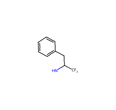 [NH]C(Cc1ccccc1)C(F)(F)F